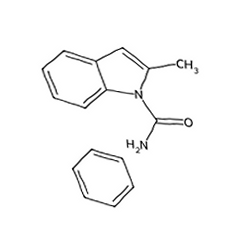 Cc1cc2ccccc2n1C(N)=O.c1ccccc1